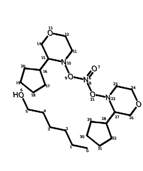 CCCCCCO.O=[N+](ON1CCOCC1C1CCCC1)ON1CCOCC1C1CCCC1